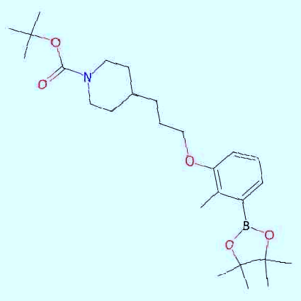 Cc1c(OCCCC2CCN(C(=O)OC(C)(C)C)CC2)cccc1B1OC(C)(C)C(C)(C)O1